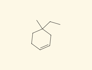 CCC1(C)CC=CCC1